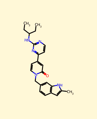 CCC(CC)Nc1nccc(-c2ccn(Cc3ccc4cc(C)[nH]c4c3)c(=O)c2)n1